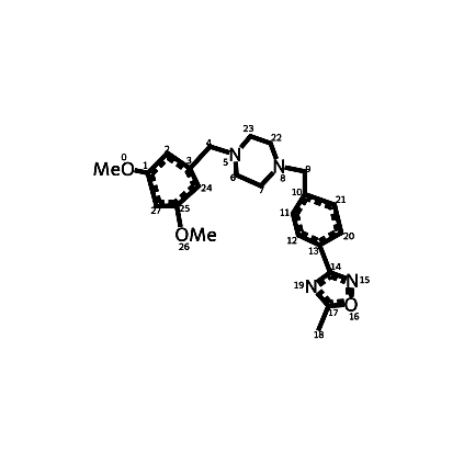 COc1cc(CN2CCN(Cc3ccc(-c4noc(C)n4)cc3)CC2)cc(OC)c1